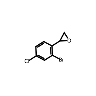 Clc1ccc(C2CO2)c(Br)c1